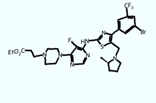 CCOC(=O)CCN1CCN(c2ncnc(Nc3nc(-c4cc(Br)cc(C(F)(F)F)c4)c(CN4CCC[C@H]4C)s3)c2F)CC1